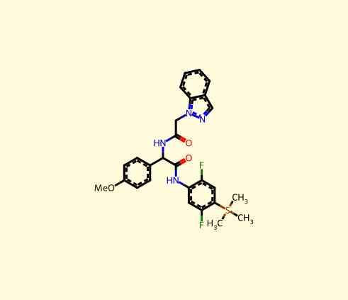 COc1ccc(C(NC(=O)Cn2ncc3ccccc32)C(=O)Nc2cc(F)c(S(C)(C)C)cc2F)cc1